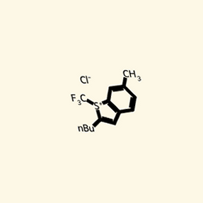 CCCCc1cc2ccc(C)cc2[s+]1C(F)(F)F.[Cl-]